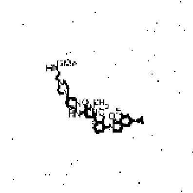 CONCCN1CCN(c2ccc(Nc3cc(-c4cccc(-n5ccc6cc(C7CC7)cc(F)c6c5=O)c4CO)cn(C)c3=O)nc2)CC1